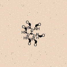 O=C[NH][Zr]([NH]C=O)[I]([Zr]([NH]C=O)[NH]C=O)[Zr]([NH]C=O)[NH]C=O